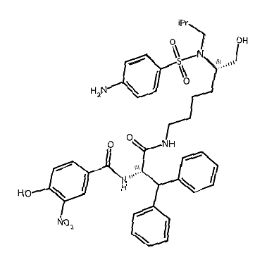 CC(C)CN([C@H](CO)CCCCNC(=O)[C@@H](NC(=O)c1ccc(O)c([N+](=O)[O-])c1)C(c1ccccc1)c1ccccc1)S(=O)(=O)c1ccc(N)cc1